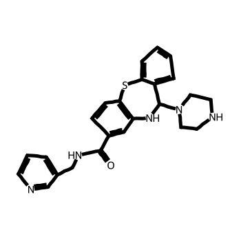 O=C(NCc1cccnc1)c1ccc2c(c1)NC(N1CCNCC1)c1ccccc1S2